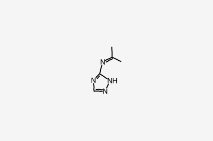 CC(C)=Nc1ncn[nH]1